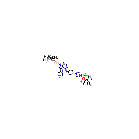 CC(C)(C)OC(=O)N1CCN([C@H]2CC[C@H](Nc3ncnc4c3c(C3=CCOCC3)cn4COCC[Si](C)(C)C)CC2)CC1